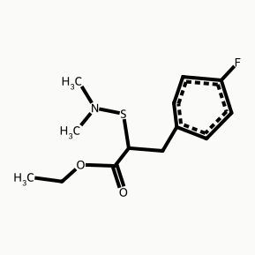 CCOC(=O)C(Cc1ccc(F)cc1)SN(C)C